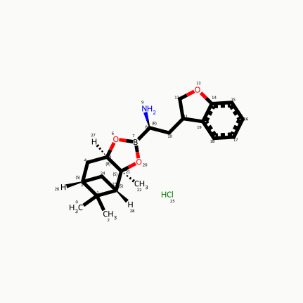 CC1(C)[C@@H]2C[C@H]3OB([C@@H](N)CC4COc5ccccc54)O[C@@]3(C)[C@H]1C2.Cl